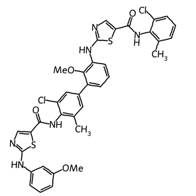 COc1cccc(Nc2ncc(C(=O)Nc3c(C)cc(-c4cccc(Nc5ncc(C(=O)Nc6c(C)cccc6Cl)s5)c4OC)cc3Cl)s2)c1